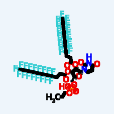 CCCOP(=O)(O)OC[C@H]1O[C@@H](n2ccc(=O)[nH]c2=O)[C@H](OC(=O)CCC(F)(F)C(F)(F)C(F)(F)C(F)(F)C(F)(F)C(F)(F)C(F)(F)C(F)(F)F)[C@@H]1OC(=O)CCC(F)(F)C(F)(F)C(F)(F)C(F)(F)C(F)(F)C(F)(F)C(F)(F)C(F)(F)F